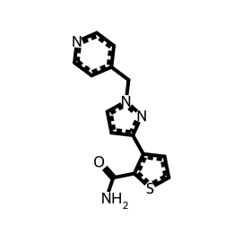 NC(=O)c1sccc1-c1ccn(Cc2ccncc2)n1